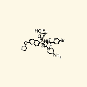 NC1CCN(C(=O)[C@@H](NS(=O)(=O)c2ccc3cc(OC4CCCC4)ccc3c2)C(F)(F)c2ccc(Br)cc2)CC1.O=C(O)C(F)(F)F